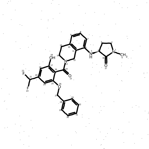 CN1CC[C@H](Nc2cccc3c2CN(C(=O)c2c(O)cc(C(F)F)cc2OCc2ccccc2)CC3)C1=O